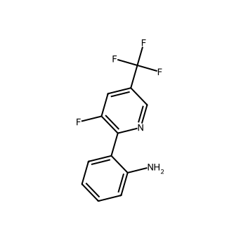 Nc1ccccc1-c1ncc(C(F)(F)F)cc1F